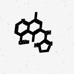 COc1ccnc2c(C)cc(NC3=NCCN3)c(C)c12